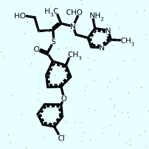 C/C(=C(\CCO)SC(=O)c1ccc(Oc2cccc(Cl)c2)cc1C)N(C=O)Cc1cnc(C)nc1N